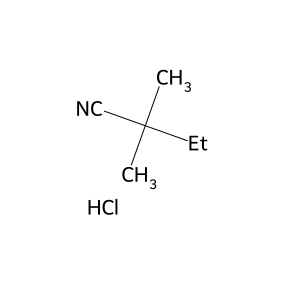 CCC(C)(C)C#N.Cl